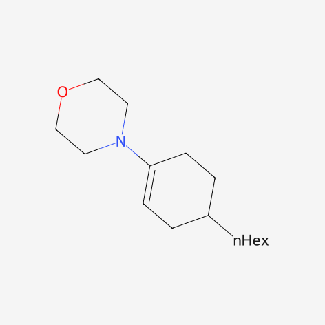 CCCCCCC1CC=C(N2CCOCC2)CC1